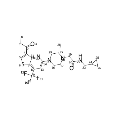 CCC(=O)c1csc2c(C(F)(F)F)cc(N3CCN(CC(=O)NCC4CC4)[C@@H](C)C3)nc12